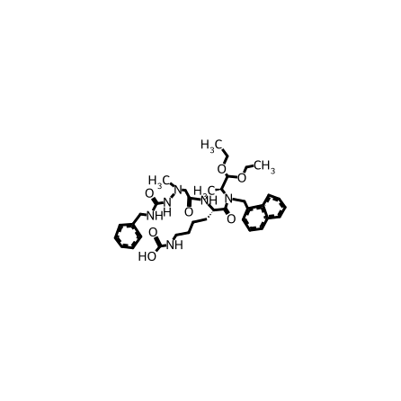 CCOC(OCC)[C@H](C)N(Cc1cccc2ccccc12)C(=O)[C@H](CCCCNC(=O)O)NC(=O)CN(C)NC(=O)NCc1ccccc1